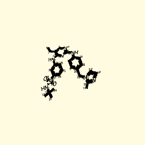 CCc1cnc(Nc2ccc(Cn3ccnc3C)cc2)nc1Nc1cccc(S(=O)(=O)NC(C)(C)C)c1